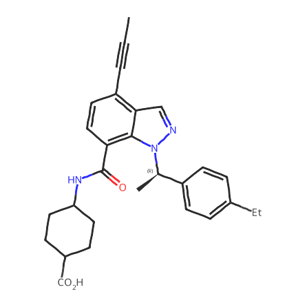 CC#Cc1ccc(C(=O)NC2CCC(C(=O)O)CC2)c2c1cnn2[C@H](C)c1ccc(CC)cc1